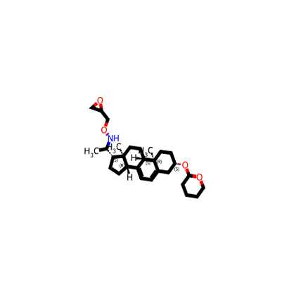 CC(NOCC1CO1)[C@H]1CC[C@H]2C3=CC=C4C[C@@H](OC5CCCCO5)CC[C@]4(C)[C@H]3CC[C@]12C